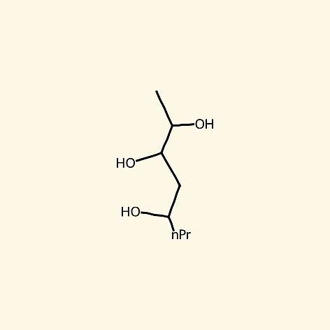 CCCC(O)CC(O)C(C)O